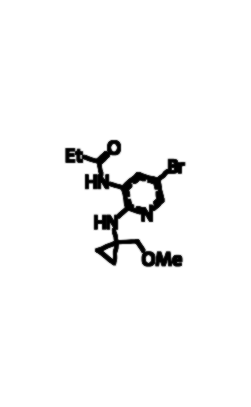 CCC(=O)Nc1cc(Br)cnc1NC1(COC)CC1